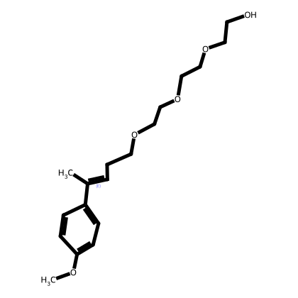 COc1ccc(/C(C)=C/CCOCCOCCOCCO)cc1